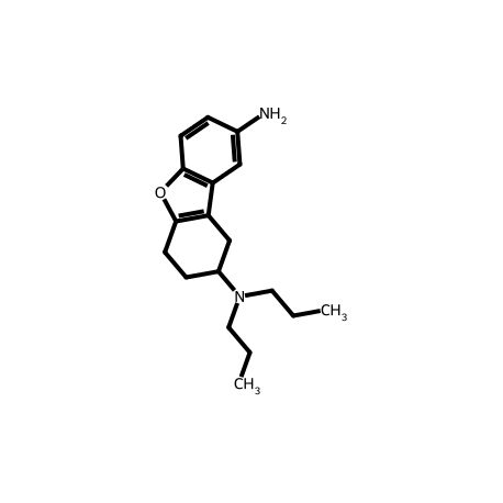 CCCN(CCC)C1CCc2oc3ccc(N)cc3c2C1